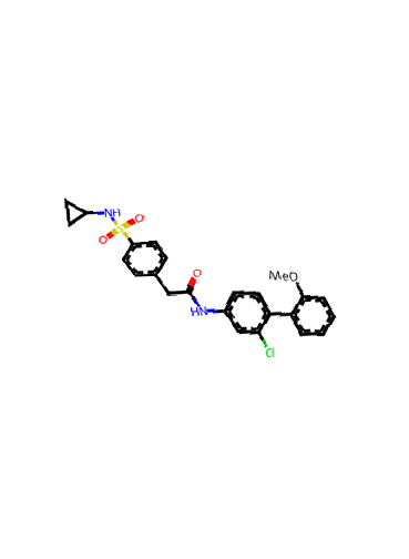 COc1ccccc1-c1ccc(NC(=O)Cc2ccc(S(=O)(=O)NC3CC3)cc2)cc1Cl